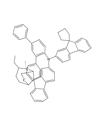 CCC1CCC2CC[C@H](C)C(C1)C21c2ccccc2-c2ccc(N(c3ccc4c(c3)C3(CCCC3)c3ccccc3-4)c3ccc(-c4ccccc4)cc3-c3ccccc3)cc21